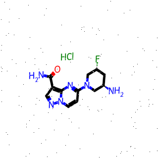 Cl.NC(=O)c1cnn2ccc(N3C[C@H](N)C[C@@H](F)C3)nc12